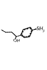 CCCC(O)c1ccc([SiH3])cc1